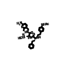 CC(=O)Nc1ccc(CCN[C@H](CCc2ccccc2)C(=O)N[C@@H](C)C(=O)NCc2ccc(N)nc2C)cc1.Cl.Cl